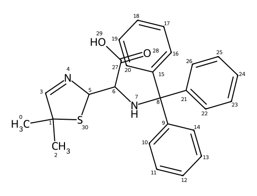 CC1(C)C=NC(C(NC(c2ccccc2)(c2ccccc2)c2ccccc2)C(=O)O)S1